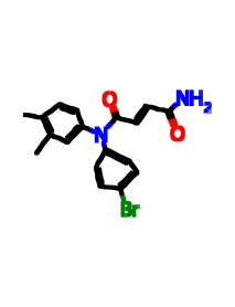 Cc1ccc(N(C(=O)C=CC(N)=O)c2ccc(Br)cc2)cc1C